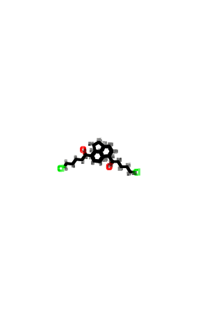 O=C(CCCCCl)c1ccc2c(C(=O)CCCCCl)ccc3c2c1CC3